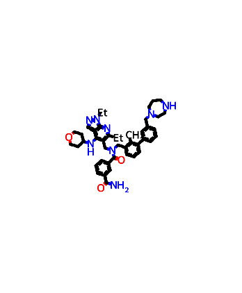 CCc1nc2c(cnn2CC)c(NC2CCOCC2)c1CN(Cc1cccc(-c2cccc(CN3CCCNCC3)c2)c1C)C(=O)c1cccc(C(N)=O)c1